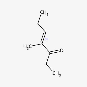 CC/C=C(\C)C(=O)CC